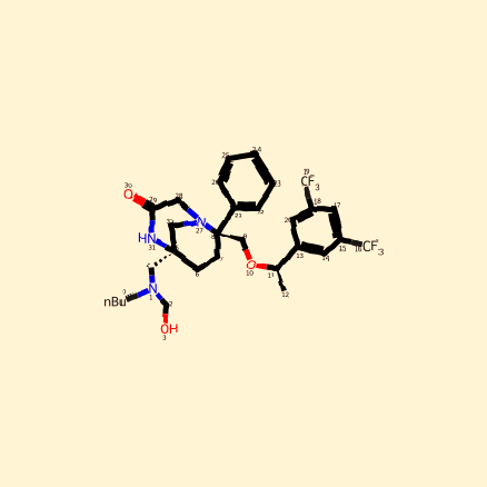 CCCCN(CO)C[C@]12CC[C@@](CO[C@H](C)c3cc(C(F)(F)F)cc(C(F)(F)F)c3)(c3ccccc3)N(CC(=O)N1)C2